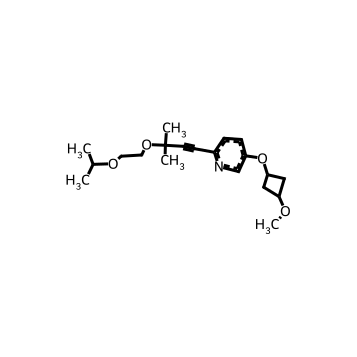 COC1CC(Oc2ccc(C#CC(C)(C)OCCOC(C)C)nc2)C1